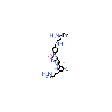 CC(C)C(N)CCNCc1ccc(-n2cc3cc(-c4cc(CCC[C@H](C)N)cc(Cl)c4F)[nH]c3nc2=O)cc1